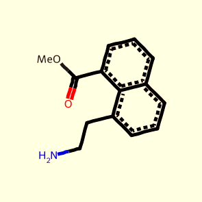 COC(=O)c1cccc2cccc(CCN)c12